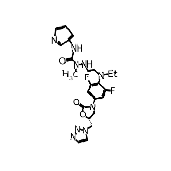 CCN(CCNN(C)C(=O)Nc1cccnc1)c1c(F)cc(N2C[C@H](Cn3ccnn3)OC2=O)cc1F